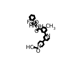 C#CC(=O)N1CCC(c2ccnc(-c3cc(C)cc(C(=O)NNS(=O)(=O)c4ccccc4F)c3)c2)CC1